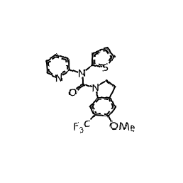 COc1cc2c(cc1C(F)(F)F)N(C(=O)N(c1ccccn1)c1cccs1)CC2